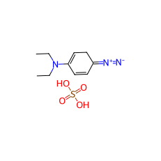 CCN(CC)C1=CCC(=[N+]=[N-])C=C1.O=S(=O)(O)O